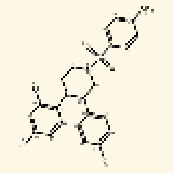 Cc1ccc(S(=O)(=O)N2CCN(c3ccc(Cl)cc3Cl)C(c3ccc(Cl)cc3)C2)cc1